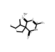 CCC(C)C1(CC)C(=O)N=C([O-])NC1=O.[Na+]